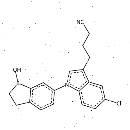 N#CCCCc1cn(-c2ccc3c(c2)B(O)CC3)c2ccc(Cl)cc12